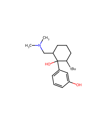 CN(C)CC1CCCC(C(C)(C)C)C1(O)c1cccc(O)c1